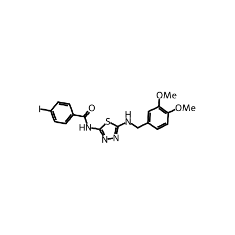 COc1ccc(CNc2nnc(NC(=O)c3ccc(I)cc3)s2)cc1OC